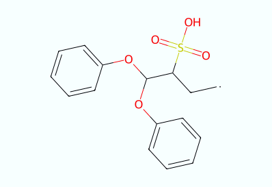 [CH2]CC(C(Oc1ccccc1)Oc1ccccc1)S(=O)(=O)O